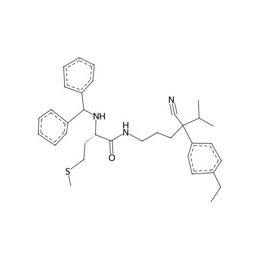 CCc1ccc(C(C#N)(CCCNC(=O)[C@H](CCSC)NC(c2ccccc2)c2ccccc2)C(C)C)cc1